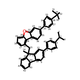 CC(C)c1ccc(-c2ccc3c(c2)C(C)(Cc2cccc4oc5cc(-c6ccc(C(C)(C)C)cc6)ccc5c24)c2ccccc2-3)cc1